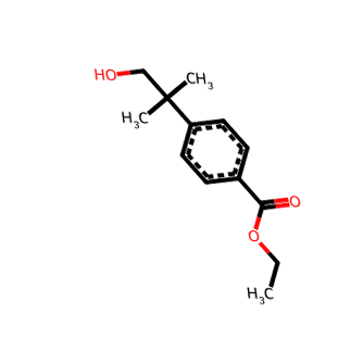 CCOC(=O)c1ccc(C(C)(C)CO)cc1